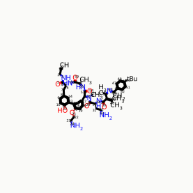 C#CCNC(=O)C1Cc2ccc(O)c(c2)-c2cc(ccc2OCCN)C(N(C)C(=O)[C@H](CCN)NC(=O)C(=C(C)C)/C(C)=N\C(=C)c2ccc(C(C)(C)C)cc2)C(=O)N[C@@H](C)C(=O)N1